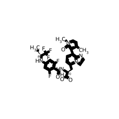 CC[C@@H](Nc1cc(F)c(C(=O)N[C@@H](Cc2ccc(-c3c(C)ccn(C)c3=O)c3nccn23)C(=O)O)c(F)c1)C(F)(F)F